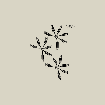 N#[C][Fe-2]([C]#N)([C]#N)([C]#N)([C]#N)[C]#N.N#[C][Fe-2]([C]#N)([C]#N)([C]#N)([C]#N)[C]#N.N#[C][Fe-2]([C]#N)([C]#N)([C]#N)([C]#N)[C]#N.[Fe+3].[Fe+3]